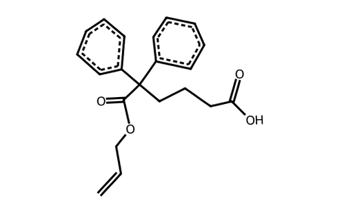 C=CCOC(=O)C(CCCC(=O)O)(c1ccccc1)c1ccccc1